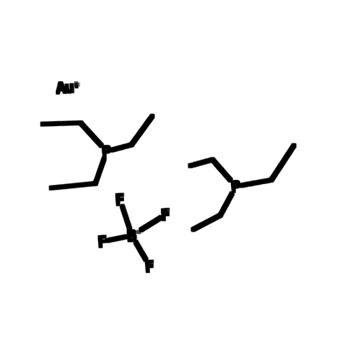 CCP(CC)CC.CCP(CC)CC.F[B-](F)(F)F.[Au+]